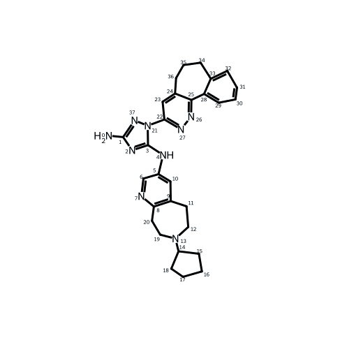 Nc1nc(Nc2cnc3c(c2)CCN(C2CCCC2)CC3)n(-c2cc3c(nn2)-c2ccccc2CCC3)n1